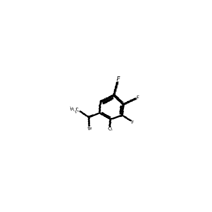 CC(Br)c1cc(F)c(F)c(F)c1Cl